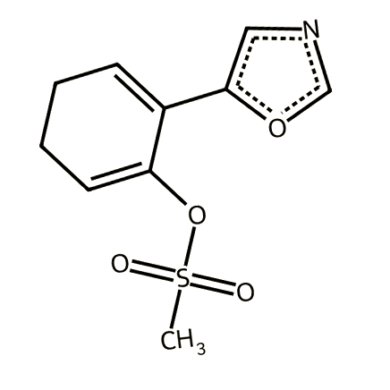 CS(=O)(=O)OC1=CCCC=C1c1cnco1